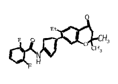 CCc1cc2c(cc1-c1ccc(NC(=O)c3c(F)cccc3F)cc1)OC(C)(C)CC2=O